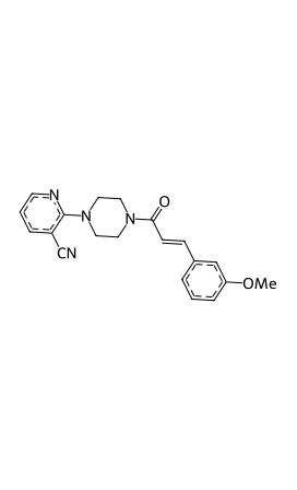 COc1cccc(/C=C/C(=O)N2CCN(c3ncccc3C#N)CC2)c1